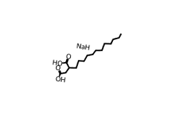 CCCCCCCCCCCCC(CC(=O)O)C(=O)O.[NaH]